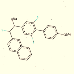 CCCCC(c1cc(F)c(-c2ccc(OC)cc2)c(F)c1)C(F)c1ccc2ccccc2c1